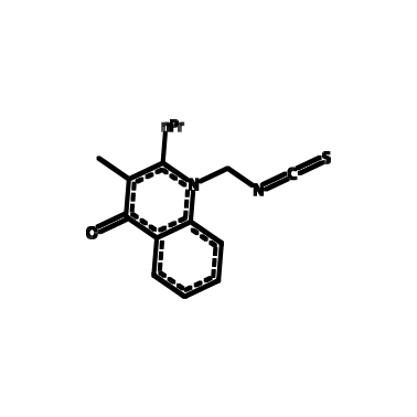 CCCc1c(C)c(=O)c2ccccc2n1CN=C=S